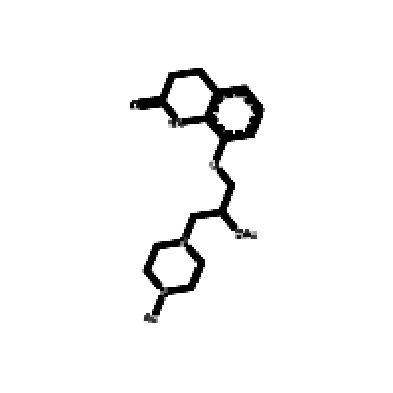 CC(=O)OC(COc1cccc2c1NC(=O)CC2)CN1CCN(C(C)=O)CC1